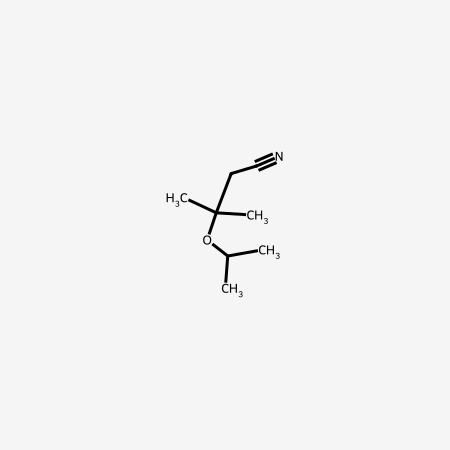 CC(C)OC(C)(C)CC#N